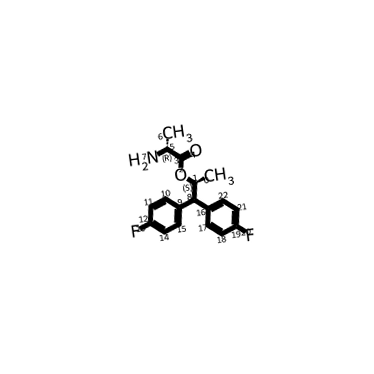 C[C@H](OC(=O)[C@@H](C)N)C(c1ccc(F)cc1)c1ccc(F)cc1